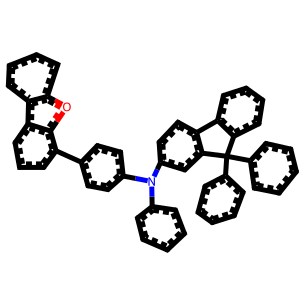 c1ccc(N(c2ccc(-c3cccc4c3oc3ccccc34)cc2)c2ccc3c(c2)C(c2ccccc2)(c2ccccc2)c2ccccc2-3)cc1